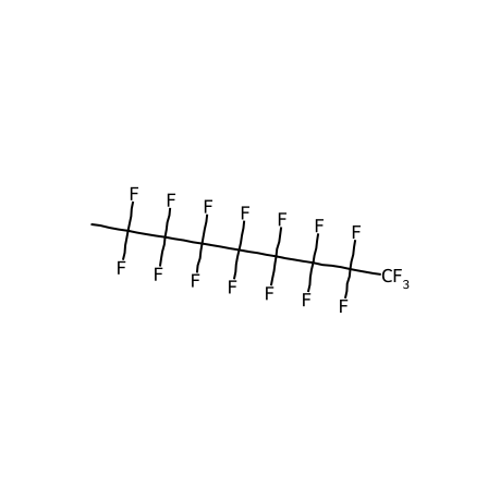 CC(F)(F)C(F)(F)C(F)(F)C(F)(F)C(F)(F)C(F)(F)C(F)(F)C(F)(F)F